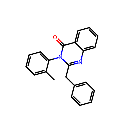 Cc1ccccc1-n1c(Cc2ccccc2)nc2ccccc2c1=O